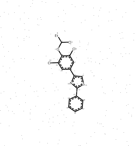 CCC(Cl)Oc1c(Cl)cc(-c2csc(-c3ccccc3)n2)cc1Cl